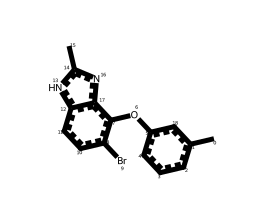 Cc1cccc(Oc2c(Br)ccc3[nH]c(C)nc23)c1